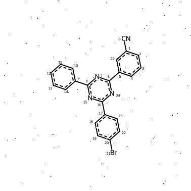 N#Cc1cccc(-c2nc(-c3ccccc3)nc(-c3ccc(Br)cc3)n2)c1